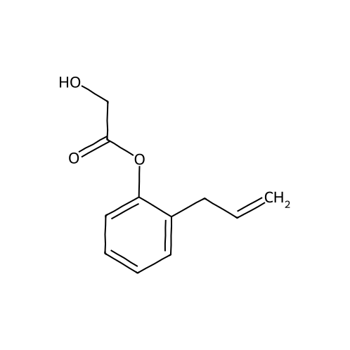 C=CCc1ccccc1OC(=O)CO